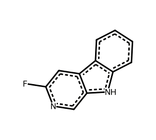 Fc1cc2c(cn1)[nH]c1ccccc12